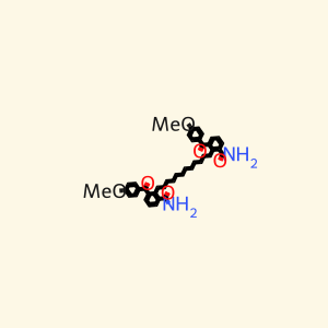 COc1ccc(C(=O)c2cccc(C(N)=O)c2CCCCCCCCCCCCc2c(C(N)=O)cccc2C(=O)c2ccc(OC)cc2)cc1